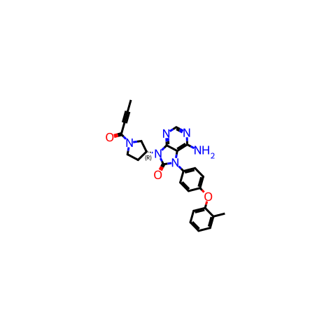 CC#CC(=O)N1CC[C@@H](n2c(=O)n(-c3ccc(Oc4ccccc4C)cc3)c3c(N)ncnc32)C1